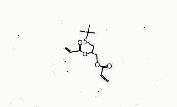 C=CC(=O)OCC(CSC(C)(C)C)OC(=O)C=C